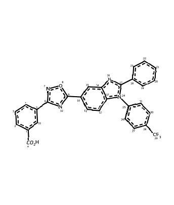 O=C(O)c1cccc(-c2noc(-c3ccc4c(c3)nc(-c3ccccc3)n4-c3ccc(C(F)(F)F)cc3)n2)c1